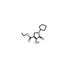 CCOC(=O)C1=C(O)C(=O)N(C2CCCC2)C1